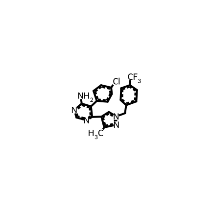 Cc1nn(Cc2ccc(C(F)(F)F)cc2)cc1-c1ncnc(N)c1-c1ccc(Cl)cc1